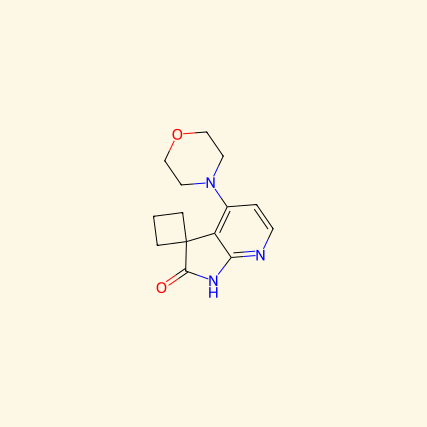 O=C1Nc2nccc(N3CCOCC3)c2C12CCC2